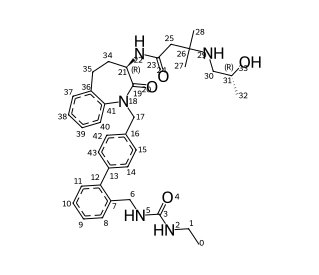 CCNC(=O)NCc1ccccc1-c1ccc(CN2C(=O)[C@H](NC(=O)CC(C)(C)NC[C@@H](C)O)CCc3ccccc32)cc1